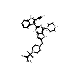 CC(C)(C(N)=O)N1CCN(Cc2cc3nc(-c4c(C#N)[nH]c5ccccc45)nc(N4CCOCC4)c3s2)CC1